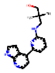 CC(C)(CO)CNc1cccc(-c2ccnc3[nH]ccc23)n1